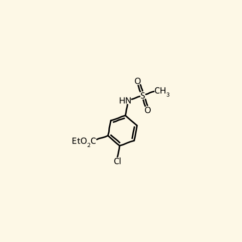 CCOC(=O)c1cc(NS(C)(=O)=O)ccc1Cl